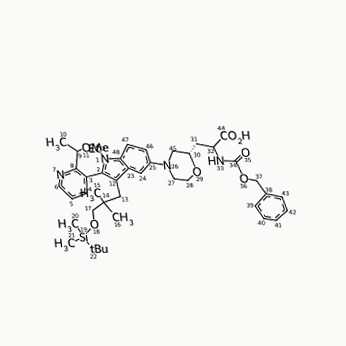 CCn1c(-c2cccnc2C(C)OC)c(CC(C)(C)CO[Si](C)(C)C(C)(C)C)c2cc(N3CCO[C@@H](CC(NC(=O)OCc4ccccc4)C(=O)O)C3)ccc21